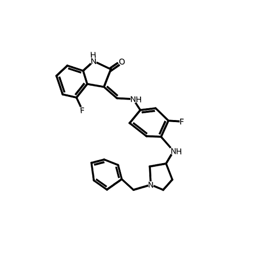 O=C1Nc2cccc(F)c2C1=CNc1ccc(NC2CCN(Cc3ccccc3)C2)c(F)c1